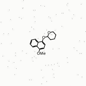 COc1ccc(OC2CCCCO2)c2ccccc12